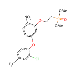 COP(=O)(CCOc1cc(Oc2ccc(C(F)(F)F)cc2Cl)ccc1[N+](=O)[O-])OC